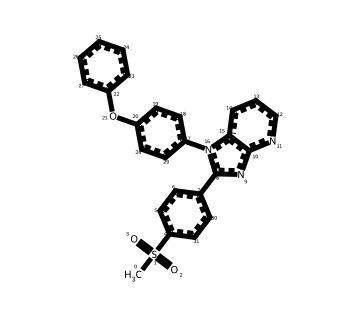 CS(=O)(=O)c1ccc(-c2nc3ncccc3n2-c2ccc(Oc3ccccc3)cc2)cc1